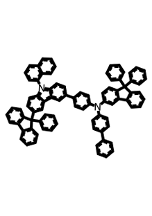 c1ccc(-c2ccc(N(c3ccc(-c4ccc5c(c4)c4cc(C6(c7ccccc7)c7ccccc7-c7ccccc76)ccc4n5-c4cccc5ccccc45)cc3)c3ccc4c(c3)-c3ccccc3C4(c3ccccc3)c3ccccc3)cc2)cc1